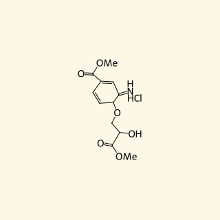 COC(=O)C1=CC(=N)C(OCC(O)C(=O)OC)C=C1.Cl